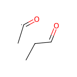 CCC=O.C[C]=O